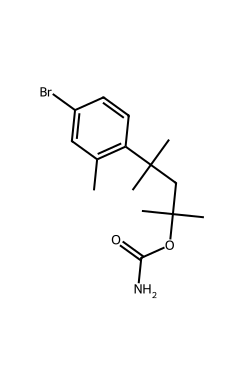 Cc1cc(Br)ccc1C(C)(C)CC(C)(C)OC(N)=O